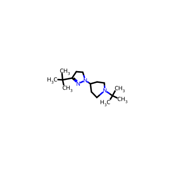 CC(C)(C)C1=NN(C2CCN(C(C)(C)C)CC2)CC1